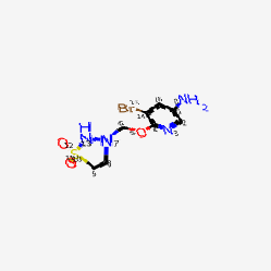 Nc1cnc(OCN2CCS(=O)(=O)N2)c(Br)c1